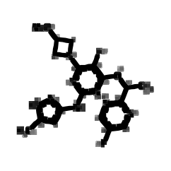 COC1CN(c2nc(Nc3cc(C)[nH]n3)nc(OC(C)c3ncc(F)cn3)c2F)C1